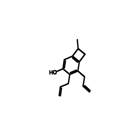 C=CCc1c(O)cc2c(c1CC=C)CC2C